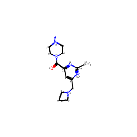 O=C(c1cc(CN2CCC2)nc(C(F)(F)F)n1)N1CCNCC1